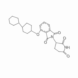 O=C1CCC(N2C(=O)c3cccc(OC4CCC(C5CCCCC5)CC4)c3C2=O)C(=O)N1